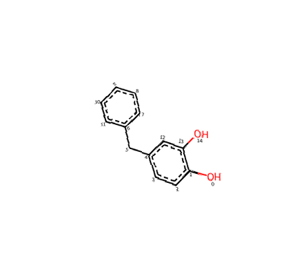 Oc1ccc(Cc2[c]cccc2)cc1O